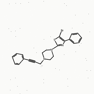 Brc1sc(N2CCN(CC#Cc3ccccc3)CC2)nc1-c1ccccc1